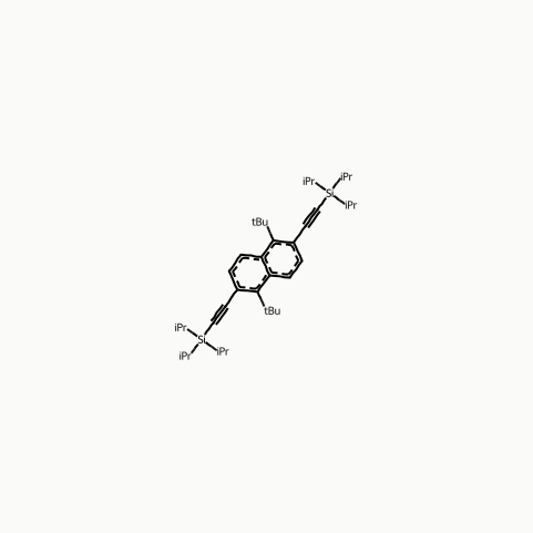 CC(C)[Si](C#Cc1ccc2c(C(C)(C)C)c(C#C[Si](C(C)C)(C(C)C)C(C)C)ccc2c1C(C)(C)C)(C(C)C)C(C)C